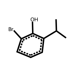 CC(C)c1cccc(Br)c1O